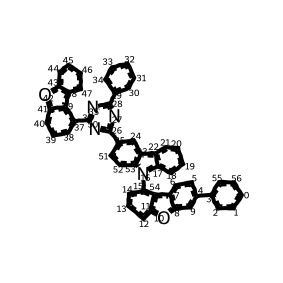 c1ccc(-c2ccc3c(c2)oc2cccc(-n4c5ccccc5c5cc(-c6nc(-c7ccccc7)nc(-c7cccc8oc9ccccc9c78)n6)ccc54)c23)cc1